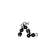 O=C(O)c1ccc(N2CCN(Cc3ccccc3-c3ccc(Cl)cc3)CC2)cc1Oc1ccc(-c2ccncc2)cc1